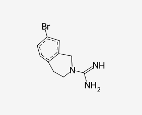 N=C(N)N1CCc2ccc(Br)cc2C1